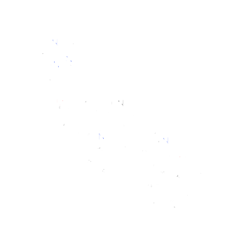 C[C@@H](OC(=O)Nc1ccc(C2C(C#N)c3cc(OCCn4cncn4)ccc3N2C2CCC2)cc1)c1ccccc1